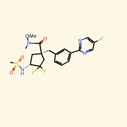 CON(C)C(=O)[C@]1(Cc2cccc(-c3ncc(F)cn3)c2)C[C@@H](NS(C)(=O)=O)C(F)(F)C1